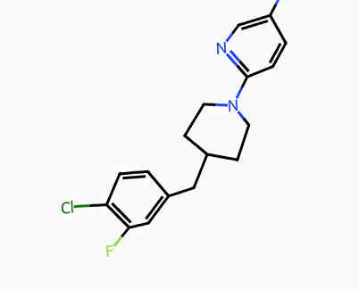 Nc1ccc(N2CCC(Cc3ccc(Cl)c(F)c3)CC2)nc1